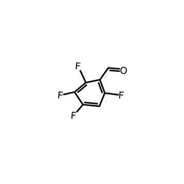 O=Cc1c(F)cc(F)c(F)c1F